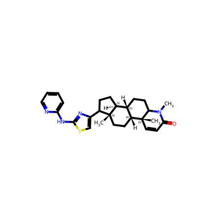 CN1C(=O)C=C[C@@]2(C)C1CC[C@@H]1[C@H]2CC[C@]2(C)C(c3csc(Nc4ccccn4)n3)CC[C@@H]12